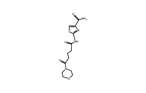 NC(=O)c1csc(NC(=O)[CH]CCC(=O)N2CCOCC2)n1